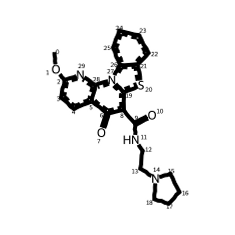 COc1ccc2c(=O)c(C(=O)NCCN3CCCC3)c3sc4ccccc4n3c2n1